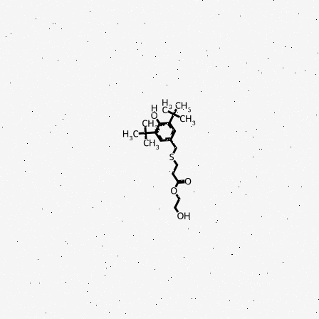 CC(C)(C)c1cc(CSCCC(=O)OCCO)cc(C(C)(C)C)c1O